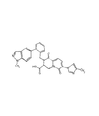 Cc1cn(-c2ccc3n(c2=O)CC(C(=O)O)N(Cc2ccccc2-c2ccc4c(cnn4C)c2)C3=O)cn1